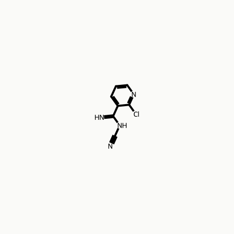 N#CNC(=N)c1cccnc1Cl